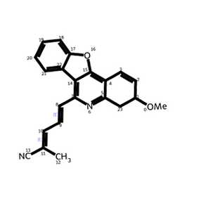 COC1C=Cc2c(nc(/C=C/C=C(\C)C#N)c3c2oc2ccccc23)C1